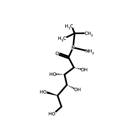 CC(C)(C)N(N)C(=O)[C@H](O)[C@@H](O)[C@H](O)[C@H](O)CO